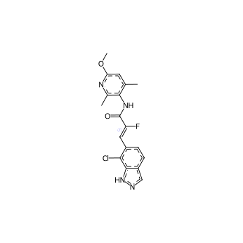 COc1cc(C)c(NC(=O)/C(F)=C/c2ccc3cn[nH]c3c2Cl)c(C)n1